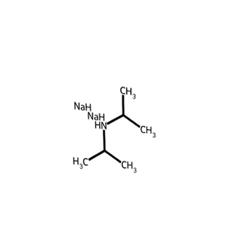 CC(C)NC(C)C.[NaH].[NaH]